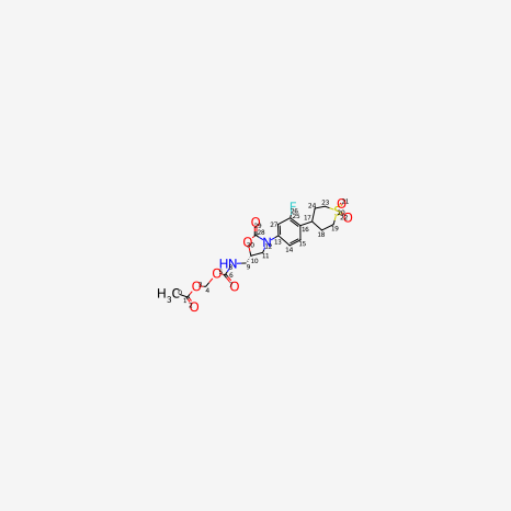 CC(=O)OCOC(=O)NC[C@H]1CN(c2ccc(C3CCS(=O)(=O)CC3)c(F)c2)C(=O)O1